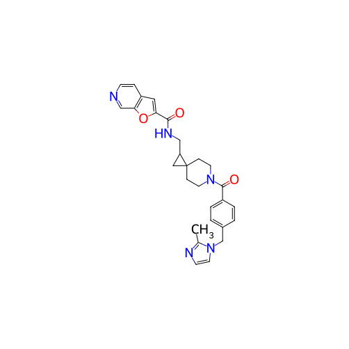 Cc1nccn1Cc1ccc(C(=O)N2CCC3(CC2)CC3CNC(=O)c2cc3ccncc3o2)cc1